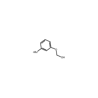 CCCCc1cccc(OCO)c1